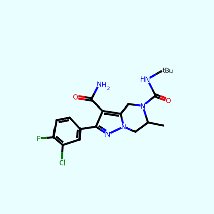 CC1Cn2nc(-c3ccc(F)c(Cl)c3)c(C(N)=O)c2CN1C(=O)NC(C)(C)C